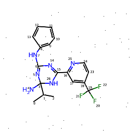 CC(C)C1(N)N=C(Nc2ccccc2)N=C(c2cc(C(F)(F)F)ccn2)N1